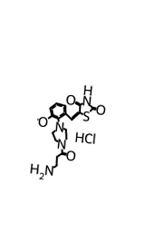 COc1cccc(C=C2SC(=O)NC2=O)c1N1CCN(C(=O)CCN)CC1.Cl